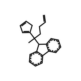 C=CCCC(C)(C1=CC=CC1)C1c2ccccc2-c2ccccc21